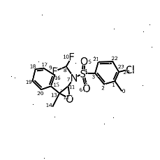 Cc1cc(S(=O)(=O)N(C(F)F)C2OC2(C)c2ccccc2)ccc1Cl